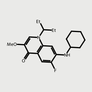 CCC(CC)n1cc(OC)c(=O)c2cc(F)c(NC3CCCCC3)cc21